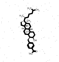 CC(C)CCC[C@@H](C)[C@H]1CC[C@H]2[C@@H]3CCC4[C@H](Cc5ccc(C(=O)O)cc5)[C@H](O)CC[C@]4(C)[C@H]3CC[C@]12C